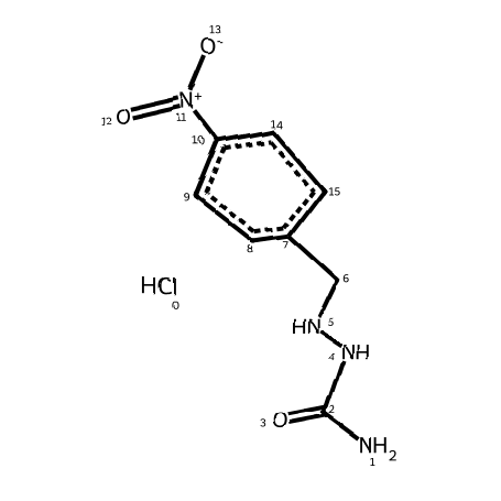 Cl.NC(=O)NNCc1ccc([N+](=O)[O-])cc1